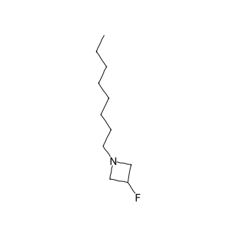 CCCCCCCCN1CC(F)C1